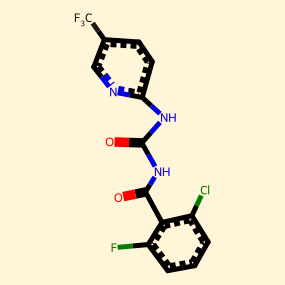 O=C(NC(=O)c1c(F)cccc1Cl)Nc1ccc(C(F)(F)F)cn1